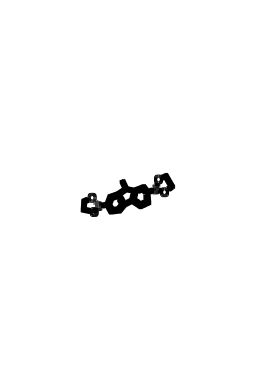 CC1c2cc(B3OCCO3)ccc2-c2ccc(B3OCCO3)cc21